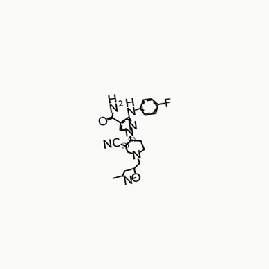 CC1=NOC(CN2CC[C@H](n3cc(C(N)=O)c(Nc4ccc(F)cc4)n3)[C@H](C#N)C2)C1